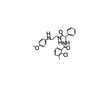 COc1ccc(NCCNC(=O)C(CNC(=O)c2cccc(C)c2Cl)c2ccccc2)cc1